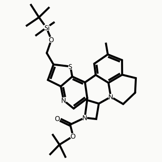 Cc1cc2c(c(-c3ccnc4cc(CO[Si](C)(C)C(C)(C)C)sc34)c1)N(C1CN(C(=O)OC(C)(C)C)C1)CCC2